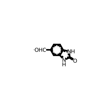 O=[C]c1ccc2[nH]c(=O)[nH]c2c1